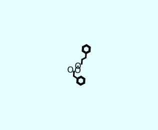 O=C(Cc1ccccc1)OOCCCc1ccccc1